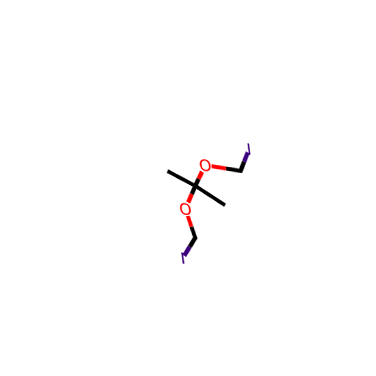 CC(C)(OCI)OCI